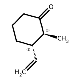 C=C[C@@H]1CCCC(=O)[C@H]1C